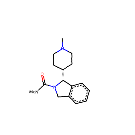 CNC(=O)N1Cc2ccccc2[C@H]1C1CCN(C)CC1